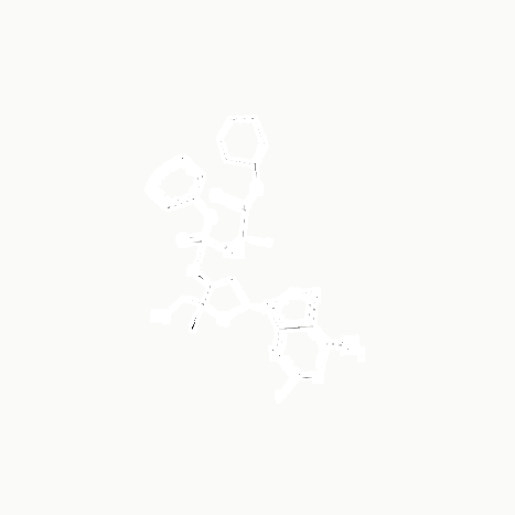 C[C@H](NP(=O)(Oc1ccccc1)O[C@H]1C[C@H](n2cnc3c(N)nc(F)nc32)O[C@]1(C)CO)C(=O)OC1CCCCC1